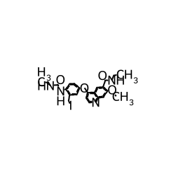 CCNC(=O)Nc1ccc(Oc2ccnc3cc(OC)c(C(=O)NCC)cc23)cc1CI